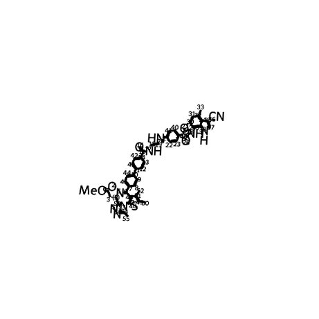 COC(=O)C[C@@H]1N=C(c2ccc(-c3ccc(C(=O)NCCNc4ccc(S(=O)(=O)Nc5ccc(C)c6c(C#N)c[nH]c56)cc4)cc3)cc2)c2c(sc(C)c2C)-n2c(C)nnc21